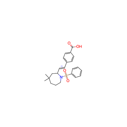 CC1(C)CCCN(S(=O)(=O)c2ccccc2)C(/C=C/c2ccc(C(=O)O)cc2)C1